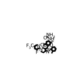 Cc1cccc(OCC(C)C)c1-n1nc2c(c1-c1cc(F)c(NC(N)=O)cc1Cl)CN(c1ncc(C(F)(F)F)cc1F)CC2